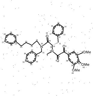 COc1cc(C(=O)C(=O)N(C)[C@@H](Cc2ccccc2)C(=O)N(CCCCc2ccccc2)Cc2ccncc2)cc(OC)c1OC